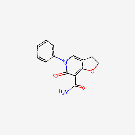 NC(=O)c1c2c(cn(-c3ccccc3)c1=O)CCO2